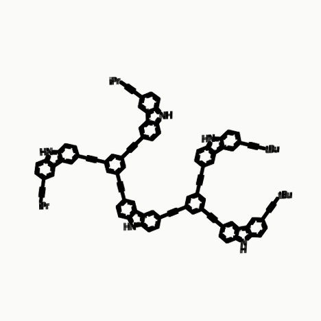 CC(C)C#Cc1ccc2[nH]c3ccc(C#Cc4cc(C#Cc5ccc6[nH]c7ccc(C#Cc8cc(C#Cc9ccc%10[nH]c%11ccc(C#CC(C)(C)C)cc%11c%10c9)cc(C#Cc9ccc%10[nH]c%11ccc(C#CC(C)(C)C)cc%11c%10c9)c8)cc7c6c5)cc(C#Cc5ccc6[nH]c7ccc(C#CC(C)C)cc7c6c5)c4)cc3c2c1